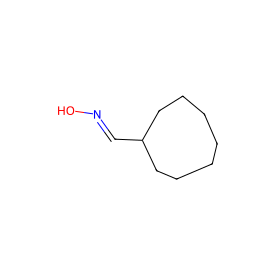 ON=CC1CCCCCCC1